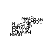 COc1cc(-c2nc3ccncc3n2C2(C)COC2Oc2c(O)c(OC)cc(-c3nc4cnccc4n3C3(C)COC3Oc3c(O)c(OC)cc(-c4nc5ccc(S(=O)(=O)N(C)C)cc5n4C4(C)COC4)c3F)c2F)c(F)c(O)c1O